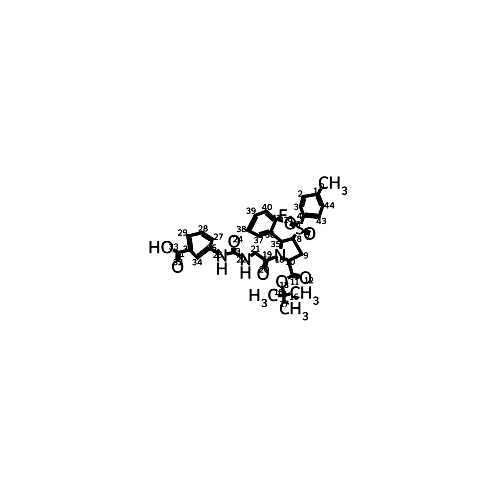 Cc1ccc(S(=O)(=O)C2CC(C(=O)OC(C)(C)C)N(C(=O)CNC(=O)Nc3cccc(C(=O)O)c3)C2c2ccccc2F)cc1